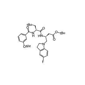 COc1cccc(C(=O)N[C@@H](CC(C)(C)C)C(=O)N[C@@H](CC(=O)OC(C)(C)C)CN2CCc3cc(F)ccc32)c1